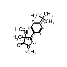 CN1N=C(c2ccc(C(C)(C)C)cc2)C(C)(NO)C1=O